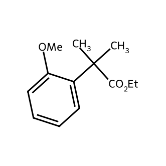 CCOC(=O)C(C)(C)c1ccccc1OC